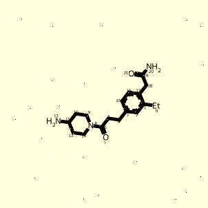 CCc1cc(C[CH]C(=O)N2CCC(N)CC2)ccc1CC(N)=O